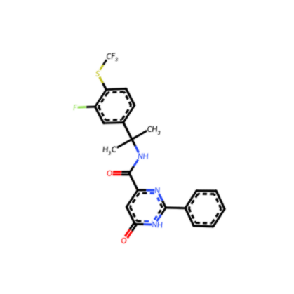 CC(C)(NC(=O)c1cc(=O)[nH]c(-c2ccccc2)n1)c1ccc(SC(F)(F)F)c(F)c1